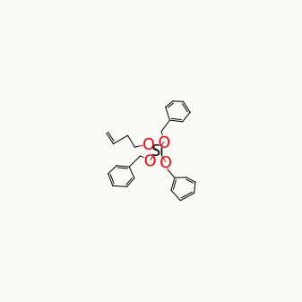 C=CCCO[Si](OCc1ccccc1)(OCc1ccccc1)OCc1ccccc1